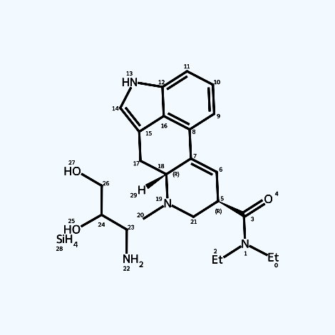 CCN(CC)C(=O)[C@@H]1C=C2c3cccc4[nH]cc(c34)C[C@H]2N(C)C1.NCC(O)CO.[SiH4]